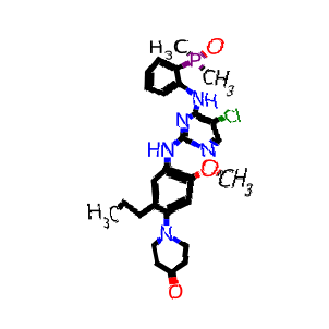 CCCc1cc(Nc2ncc(Cl)c(Nc3ccccc3P(C)(C)=O)n2)c(OC)cc1N1CCC(=O)CC1